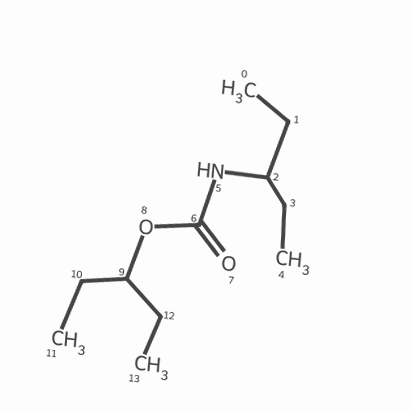 CCC(CC)NC(=O)OC(CC)CC